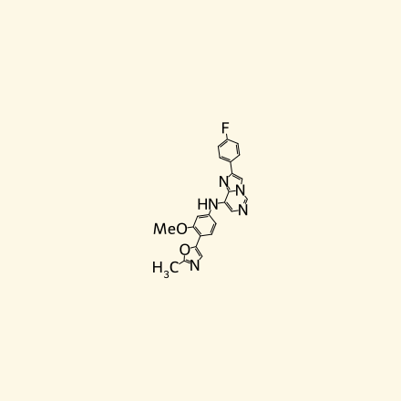 COc1cc(Nc2cncn3cc(-c4ccc(F)cc4)nc23)ccc1-c1cnc(C)o1